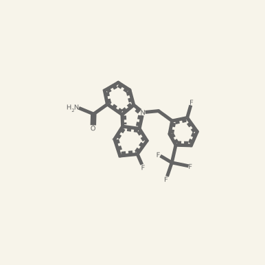 NC(=O)c1cccc2c1c1[c]cc(F)cc1n2Cc1cc(C(F)(F)F)ccc1F